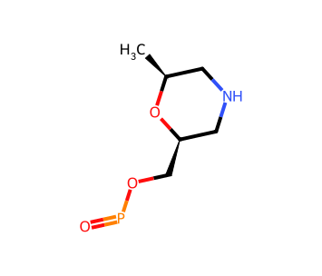 C[C@H]1CNC[C@@H](COP=O)O1